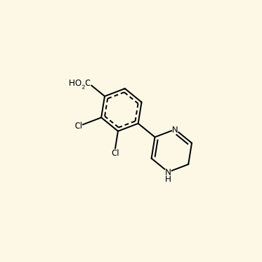 O=C(O)c1ccc(C2=CNCC=N2)c(Cl)c1Cl